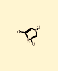 ClC1=CN(Cl)C=C(Cl)B1